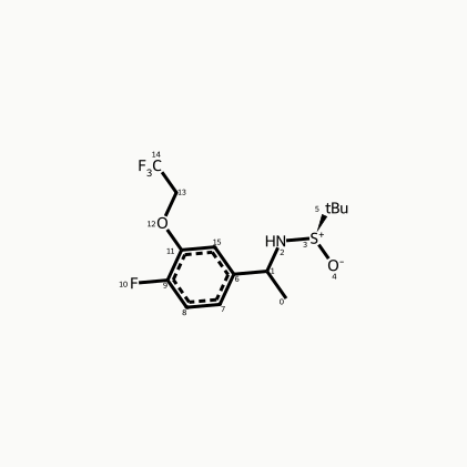 CC(N[S@+]([O-])C(C)(C)C)c1ccc(F)c(OCC(F)(F)F)c1